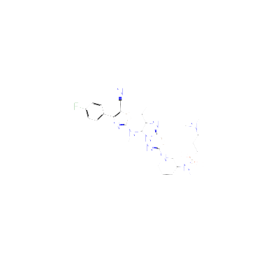 CCC1N=C2SC(N3CCCC(N(C)S(=O)(=O)CCCN(C)C)C3)=NN2C1N(C)c1nc(-c2ccc(F)cc2)c(C#N)s1